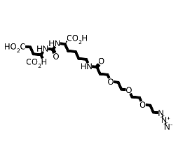 [N-]=[N+]=NCCOCCOCCOCCC(=O)NCCCC[C@H](NC(=O)NC(CCC(=O)O)C(=O)O)C(=O)O